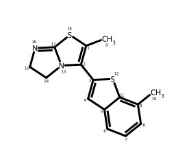 CC1=C(c2cc3cccc(C)c3s2)N2CCN=C2S1